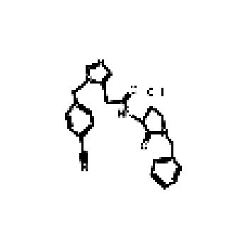 Cl.N#Cc1ccc(Cn2cncc2CC(=O)NC2CCN(Cc3ccccc3)C2=O)cc1